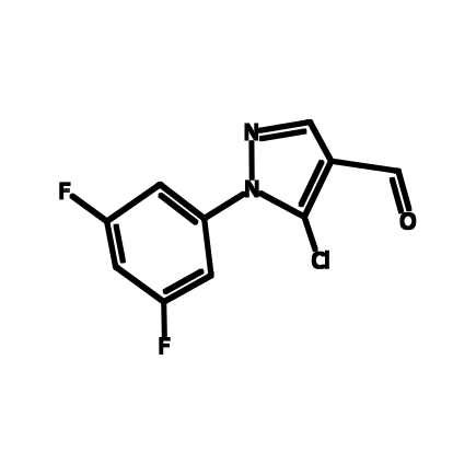 O=Cc1cnn(-c2cc(F)cc(F)c2)c1Cl